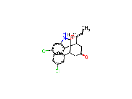 C/C=C(\C)[C@H]1CC(=O)C[C@@H](c2cccc(Cl)c2)[C@]12C(=O)Nc1cc(Cl)ccc12